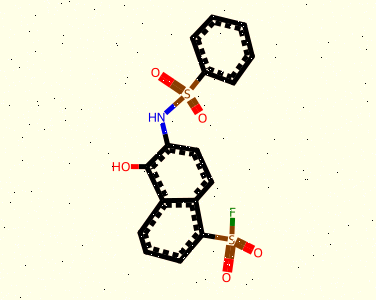 O=S(=O)(F)c1cccc2c(O)c(NS(=O)(=O)c3ccccc3)ccc12